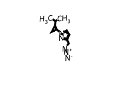 CC(C)C1CC1n1ccc(CN=[N+]=[N-])n1